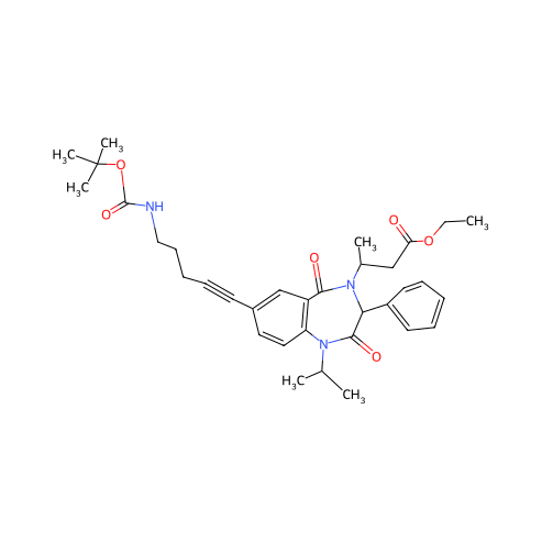 CCOC(=O)CC(C)N1C(=O)c2cc(C#CCCCNC(=O)OC(C)(C)C)ccc2N(C(C)C)C(=O)C1c1ccccc1